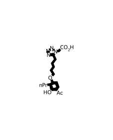 CCCc1c(OCCCCCc2nnnn2CC(=O)O)ccc(C(C)=O)c1O